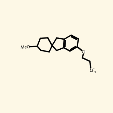 COC1CCC2(CC1)Cc1ccc(OCCC(F)(F)F)cc1C2